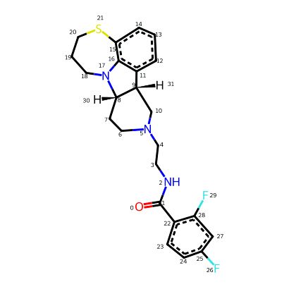 O=C(NCCN1CC[C@H]2[C@@H](C1)c1cccc3c1N2CCCS3)c1ccc(F)cc1F